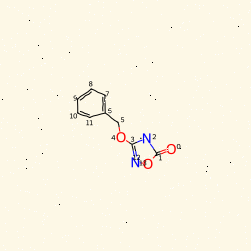 O=C1[N]C(OCc2ccccc2)=NO1